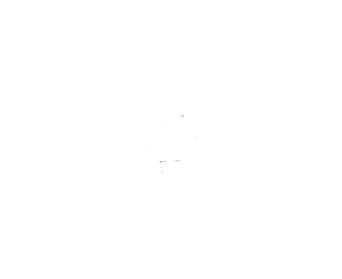 FC1(F)C=CC(F)(F)C=C1